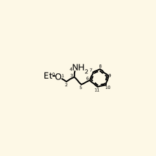 CCOCC(N)Cc1ccccc1